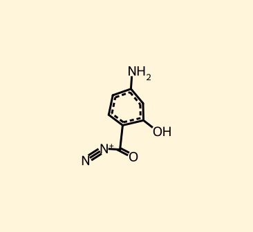 N#[N+]C(=O)c1ccc(N)cc1O